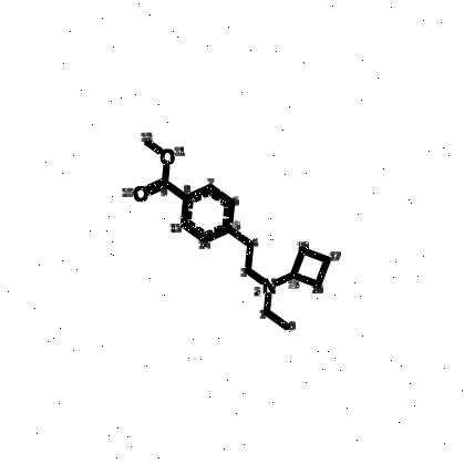 CCN(CCc1ccc(C(=O)OC)cc1)C1CCC1